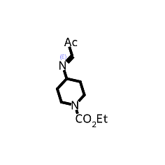 CCOC(=O)N1CCC(/N=C/C(C)=O)CC1